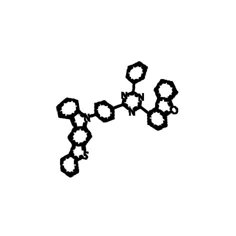 c1ccc(-c2nc(-c3ccc(-n4c5ccccc5c5cc6c(cc54)sc4ccccc46)cc3)nc(-c3cccc4oc5ccccc5c34)n2)cc1